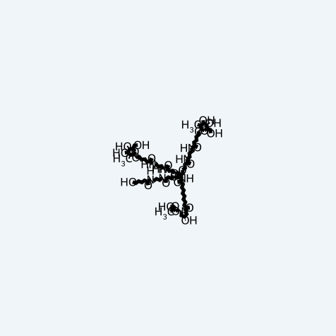 CC1C(O)[C@@H](O)C(CO)O[C@H]1OCCCCC(=O)NCCCNC(=O)CCOCC(COCCC(=O)NCCCNC(=O)CCCCO)(COCCC(=O)NCCCNC(=O)CCCCO[C@@H]1OC(CO)[C@H](O)C(O)[C@@H]1C)NC(=O)CCCCCCCCC(=O)N1C[C@H](O)C[C@H]1COP(C)(=O)O